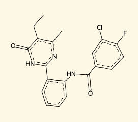 CCc1c(C)nc(-c2ccccc2NC(=O)c2ccc(F)c(Cl)c2)[nH]c1=O